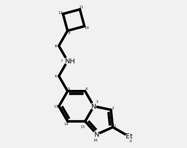 CCc1cn2cc(CNCC3CCC3)ccc2n1